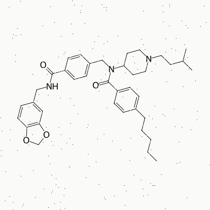 CCCCCc1ccc(C(=O)N(Cc2ccc(C(=O)NCc3ccc4c(c3)OCO4)cc2)C2CCN(CCC(C)C)CC2)cc1